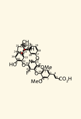 COc1cc(C=CC(=O)O)cc(OC)c1Oc1c(F)c(Oc2cccc(C3=NCCN3C)c2)nc(Oc2cc(C(=N)N)ccc2O)c1F